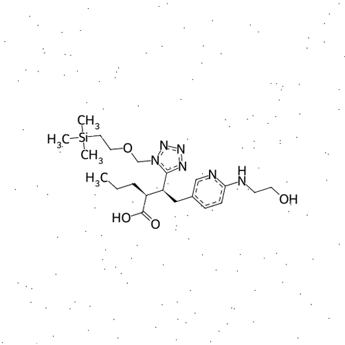 CCC[C@H](C(=O)O)[C@H](Cc1ccc(NCCO)nc1)c1nnnn1COCC[Si](C)(C)C